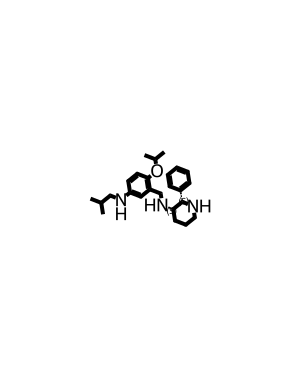 CC(C)CNc1ccc(OC(C)C)c(CN[C@H]2CCCN[C@H]2c2ccccc2)c1